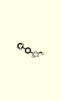 O=CNOB(O)c1ccc(-c2ncccn2)cc1